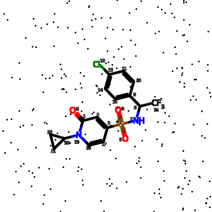 O=c1cc(S(=O)(=O)NC(c2ccc(Cl)cc2)C(F)(F)F)ccn1C1CC1